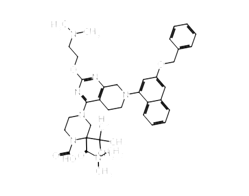 CN(C)CCOc1nc2c(c(N3CCN(C(=O)O)C(C(=O)N(C)C)(C(C)(C)C)C3)n1)CCN(c1cc(OCc3ccccc3)cc3ccccc13)C2